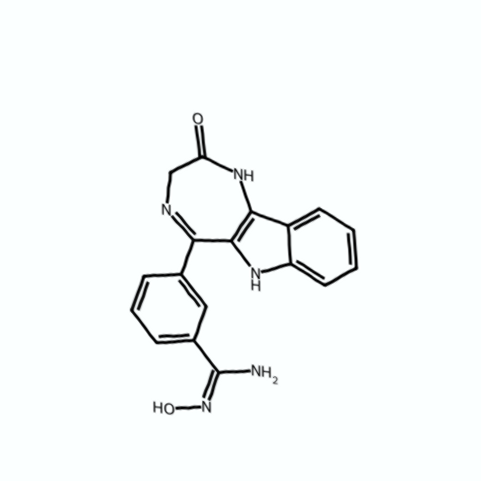 N/C(=N/O)c1cccc(C2=NCC(=O)Nc3c2[nH]c2ccccc32)c1